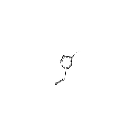 C=Cc1cc(Br)co1